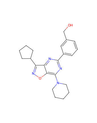 OCc1cccc(-c2nc(N3CCCCC3)c3onc(C4CCCC4)c3n2)c1